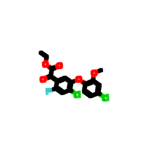 CCOC(=O)C(=O)c1cc(Oc2ccc(Cl)cc2OC)c(Cl)cc1F